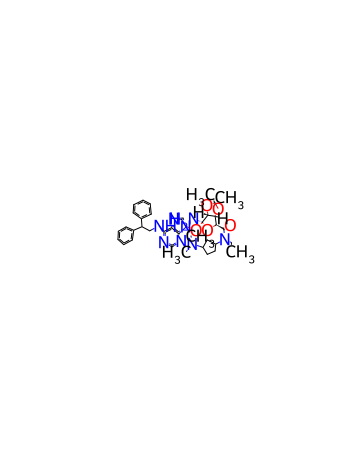 CCN(C(=O)[C@H]1O[C@@](N)(On2cnc3c(NCC(c4ccccc4)c4ccccc4)ncnc32)[C@@H]2OC(C)(C)O[C@H]12)C1CCC(N(C)C)C1